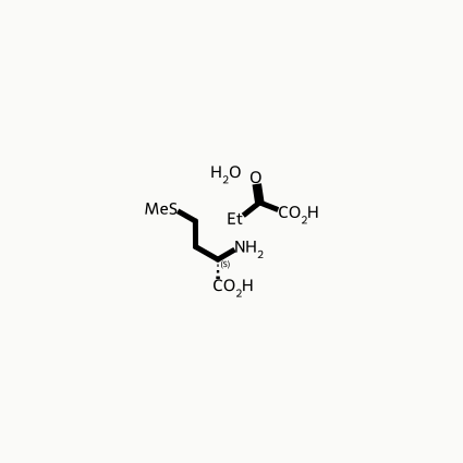 CCC(=O)C(=O)O.CSCC[C@H](N)C(=O)O.O